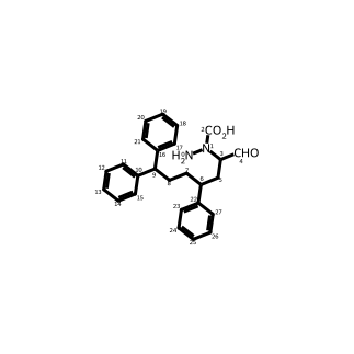 NN(C(=O)O)C(C=O)CC(CCC(c1ccccc1)c1ccccc1)c1ccccc1